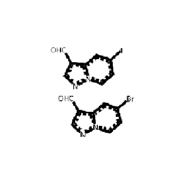 O=Cc1cnn2ccc(Br)cc12.O=Cc1cnn2ccc(I)cc12